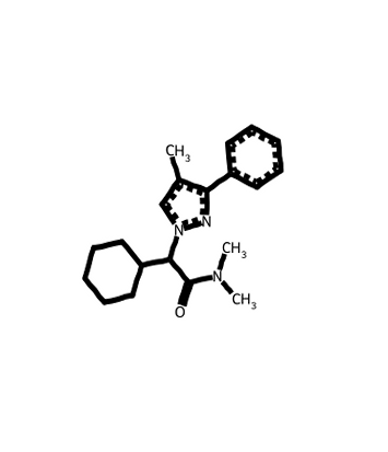 Cc1cn(C(C(=O)N(C)C)C2CCCCC2)nc1-c1ccccc1